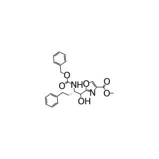 COC(=O)c1coc(C(O)[C@H](CCc2ccccc2)NC(=O)OCc2ccccc2)n1